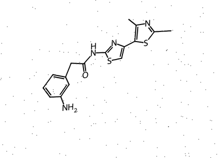 Cc1nc(C)c(-c2csc(NC(=O)Cc3cccc(N)c3)n2)s1